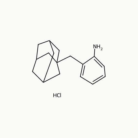 Cl.Nc1ccccc1CC12CC3CC(CC(C3)C1)C2